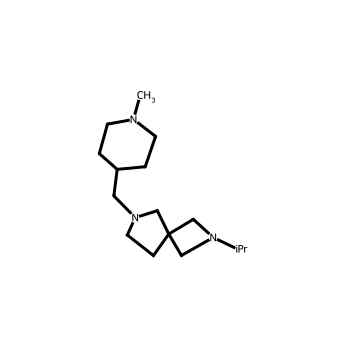 CC(C)N1CC2(CCN(CC3CCN(C)CC3)C2)C1